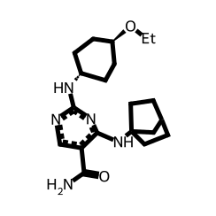 CCO[C@H]1CC[C@H](Nc2ncc(C(N)=O)c(NC34CCC(CC3)C4)n2)CC1